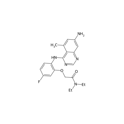 CCN(CC)C(=O)COc1cc(F)ccc1Nc1ncnc2cc(N)cc(C)c12